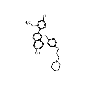 CCc1cc(Cl)ccc1-c1ccc2cc(O)ccc2c1Cc1ccc(OCCN2CCCCC2)cc1